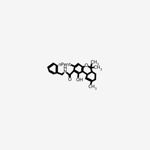 CCCCCc1cc2c(c(O)c1C(=O)NCc1ccccc1)C1C=C(C)CCC1C(C)(C)O2